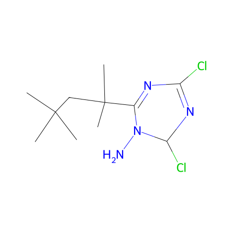 CC(C)(C)CC(C)(C)C1=NC(Cl)=NC(Cl)N1N